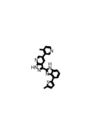 Cc1ccc(-c2cccc3[nH]c(-c4n[nH]c5ncc(-c6cnccc6C)cc45)nc23)s1